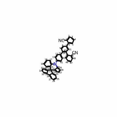 N#Cc1ccccc1-c1ccc(-c2ccc(N3c4ccccc4C4(c5ccccc5-c5ccccc54)c4ccccc43)cc2)c(-c2ccccc2C#N)c1